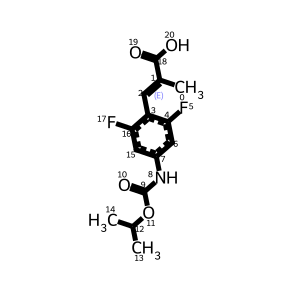 C/C(=C\c1c(F)cc(NC(=O)OC(C)C)cc1F)C(=O)O